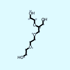 OCCOCCOCC(CO)OCCO